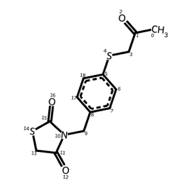 CC(=O)CSc1ccc(CN2C(=O)CSC2=O)cc1